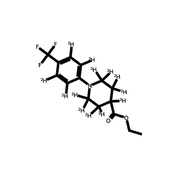 [2H]c1c([2H])c(C(F)(F)F)c([2H])c([2H])c1N1C([2H])([2H])C([2H])([2H])C([2H])(C(=O)OCC)C([2H])([2H])C1([2H])[2H]